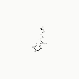 N#CCCCSC(=S)c1ccccc1